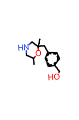 CC1CNCC(C)(Cc2ccc(CO)cc2)O1